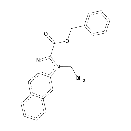 BCn1c(C(=O)OCc2ccccc2)nc2cc3ccccc3cc21